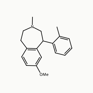 COc1ccc2c(c1)C(c1ccccc1C)CN(C)CC2